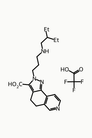 CCC(CC)CNCCCn1nc2c(c1C(=O)O)CCc1cnccc1-2.O=C(O)C(F)(F)F